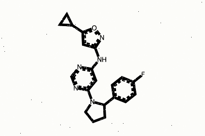 Fc1ccc(C2CCCN2c2cc(Nc3cc(C4CC4)on3)ncn2)cc1